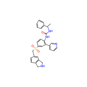 CC(NC(=O)Nc1ccc(S(=O)(=O)Cc2ccc3c(c2)CNC3)cc1-c1cccnc1)c1ccccc1